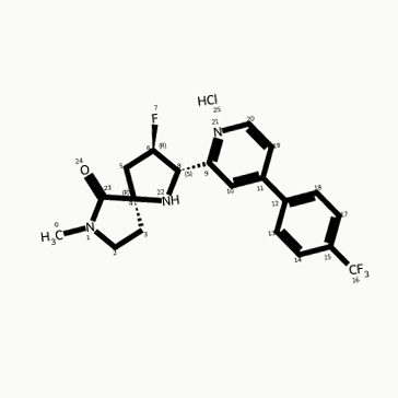 CN1CC[C@@]2(C[C@@H](F)[C@H](c3cc(-c4ccc(C(F)(F)F)cc4)ccn3)N2)C1=O.Cl